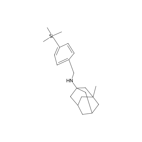 CC12CC3CC(C1)CC(NCc1ccc([Si](C)(C)C)cc1)(C3)C2